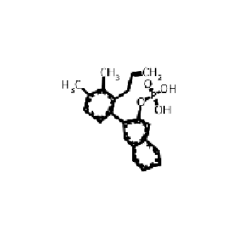 C=CCc1c(-c2cc3ccccc3cc2OP(=O)(O)O)ccc(C)c1C